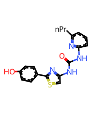 CCCc1cccc(NC(=O)Nc2csc(-c3ccc(O)cc3)n2)n1